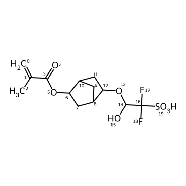 C=C(C)C(=O)OC1CC2CC1CC2OC(O)C(F)(F)S(=O)(=O)O